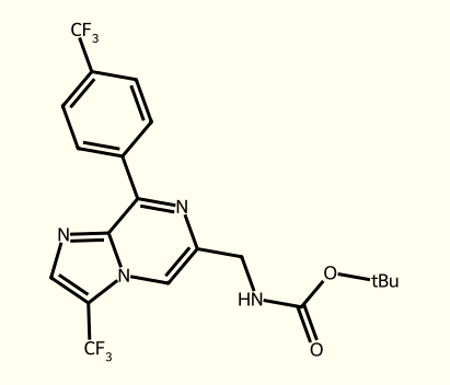 CC(C)(C)OC(=O)NCc1cn2c(C(F)(F)F)cnc2c(-c2ccc(C(F)(F)F)cc2)n1